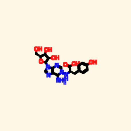 NC1c2ncn([C@H]3O[C@@H](CO)C(O)C3O)c2N=CN1N[C@H](Cc1ccc(O)cc1)C(=O)O